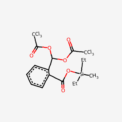 CC[Si](C)(CC)OC(=O)c1ccccc1C(OC(=O)C(Cl)(Cl)Cl)OC(=O)C(Cl)(Cl)Cl